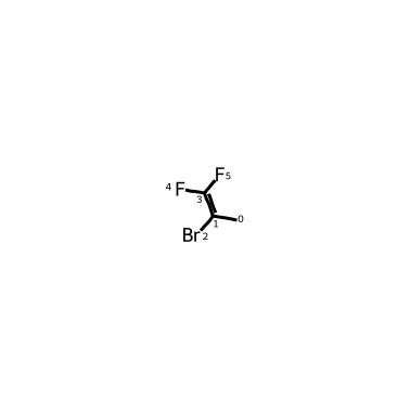 CC(Br)=C(F)F